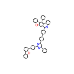 c1ccc(-c2cc(-c3ccc(-c4ccc(-c5nc6ccccc6c6c(-c7ccccc7)c7c(cc56)oc5ccccc57)cc4)cc3)nc(-c3ccc(-c4cccc5c4oc4ccccc45)cc3)n2)cc1